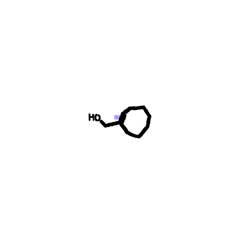 OC/C1=C/CCCCCC1